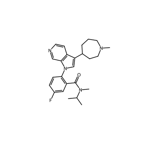 CC(C)N(C)C(=O)c1cc(F)ccc1-n1cc(C2CCCN(C)CC2)c2ccncc21